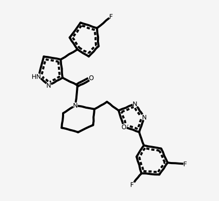 O=C(c1n[nH]cc1-c1ccc(F)cc1)N1CCCCC1Cc1nnc(-c2cc(F)cc(F)c2)o1